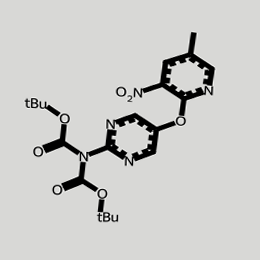 Cc1cnc(Oc2cnc(N(C(=O)OC(C)(C)C)C(=O)OC(C)(C)C)nc2)c([N+](=O)[O-])c1